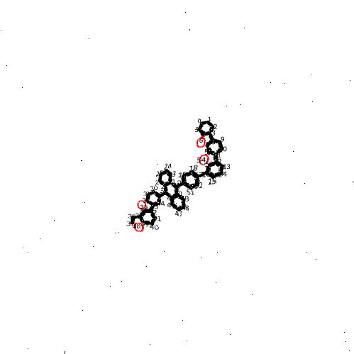 c1ccc2c(c1)oc1c2ccc2c3cccc(-c4ccc(-c5c6ccccc6c(-c6ccc7oc8c9ccoc9ccc8c7c6)c6ccccc56)cc4)c3oc21